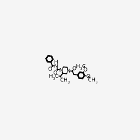 COc1ccc(CC(=O)N2CCN(C(=O)NC(=O)c3ccccc3)C(C(C)C)C2)cc1OC